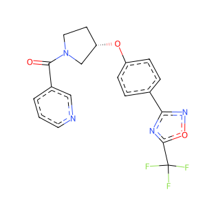 O=C(c1cccnc1)N1CC[C@H](Oc2ccc(-c3noc(C(F)(F)F)n3)cc2)C1